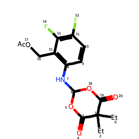 CCC1(CC)C(=O)OC(Nc2ccc(F)c(F)c2COC(C)=O)OC1=O